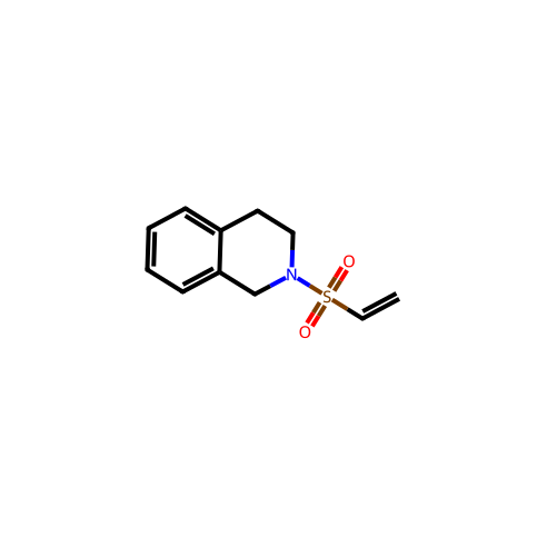 C=CS(=O)(=O)N1CCc2ccccc2C1